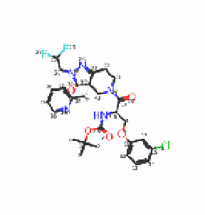 CC(C)(C)OC(=O)N[C@H](COc1cccc(Cl)c1)C(=O)N1CCC2=NN(CC(F)F)C(=O)[C@]2(Cc2ccccn2)C1